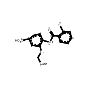 COCOc1cc(C(=O)O)ccc1NC(=O)c1ccccc1Cl